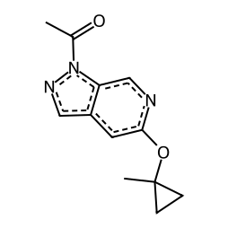 CC(=O)n1ncc2cc(OC3(C)CC3)ncc21